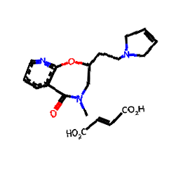 CN1CC(CCN2CC=CC2)Oc2ncccc2C1=O.O=C(O)/C=C/C(=O)O